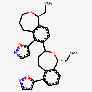 CNC[C@@H]1OCCCc2c1ccc(C1CCc3c(-c4ccno4)cccc3[C@@H](CNC)O1)c2-c1ccno1